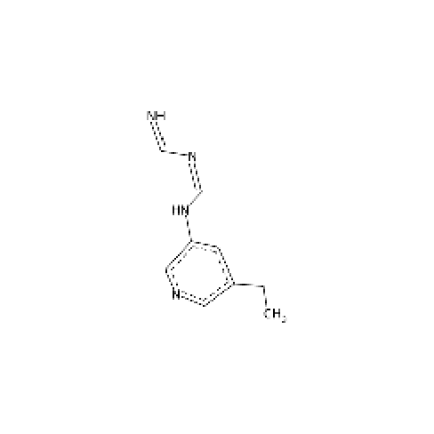 CCc1cncc(N/C=N\C=N)c1